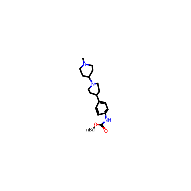 CCCCOC(=O)Nc1ccc(C2CCN(C3CCN(C)CC3)CC2)cc1